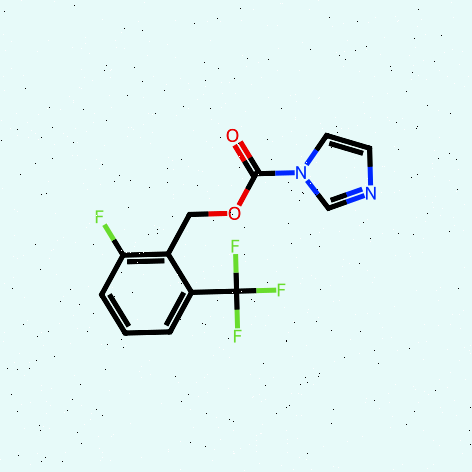 O=C(OCc1c(F)cccc1C(F)(F)F)n1ccnc1